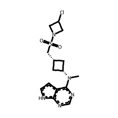 CN(c1ncnc2[nH]ccc12)[C@H]1C[C@@H](CS(=O)(=O)N2CC(Cl)C2)C1